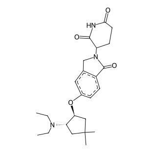 CCN(CC)[C@H]1CC(C)(C)C[C@@H]1Oc1ccc2c(c1)CN(C1CCC(=O)NC1=O)C2=O